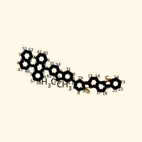 CC1(C)c2cc(-c3ccc4sc5c(ccc6c5ccc5c7ccccc7sc56)c4c3)ccc2-c2ccc(-c3c4ccccc4c(-c4cccc5ccccc45)c4ccccc34)cc21